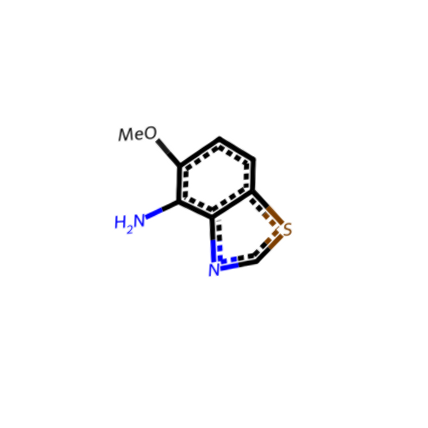 COc1ccc2scnc2c1N